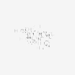 C=CC(=O)Nc1cc(Nc2cc(N3OCC[C@@H]3c3ccc(C)nc3)ncn2)c(OC)cc1N(C)CCN(C)C